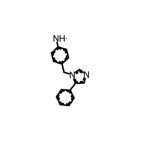 [NH]c1ccc(Cn2cncc2-c2ccccc2)cc1